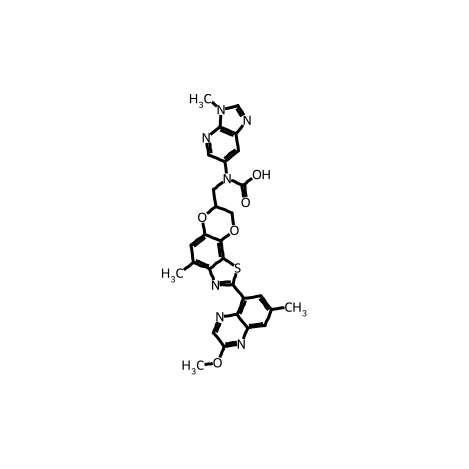 COc1cnc2c(-c3nc4c(C)cc5c(c4s3)OCC(CN(C(=O)O)c3cnc4c(c3)ncn4C)O5)cc(C)cc2n1